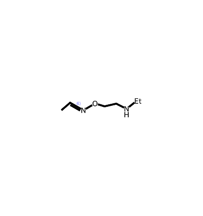 C/C=N/OCCNCC